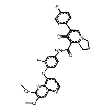 COc1cc2nccc(Oc3ccc(NC(=O)c4c5n(cc(-c6ccc(F)cc6)c4=O)CCC5)cc3F)c2nc1OC